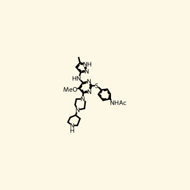 COc1c(Nc2cc(C)[nH]n2)nc(Sc2ccc(NC(C)=O)cc2)nc1N1CCN(C2CCNCC2)CC1